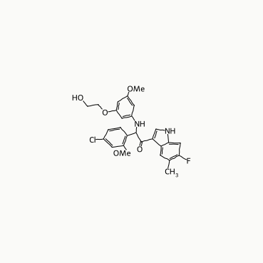 COc1cc(NC(C(=O)c2c[nH]c3cc(F)c(C)cc23)c2ccc(Cl)cc2OC)cc(OCCO)c1